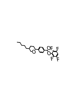 CCCCCC1CCC(c2ccc(C(=O)Oc3c(F)c(F)cc(F)c3F)cc2)OC1